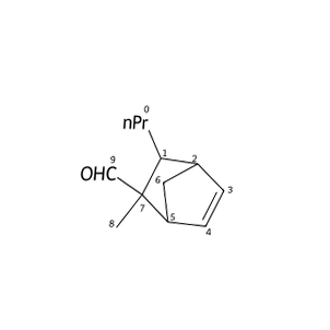 CCCC1C2C=CC(C2)C1(C)C=O